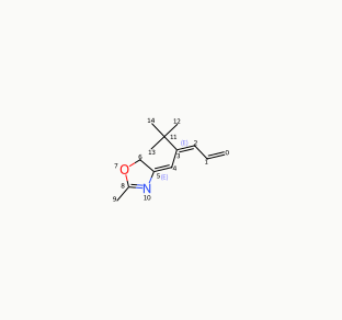 C=C/C=C(\C=C1/COC(C)=N1)C(C)(C)C